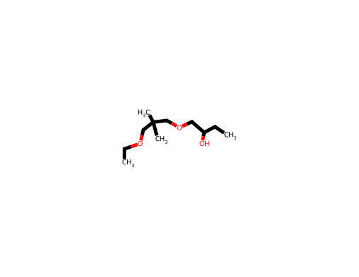 CCOCC(C)(C)COCC(O)CC